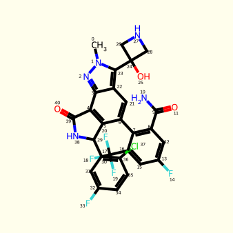 Cn1nc2c3c(c(-c4c(C(N)=O)cc(F)cc4C(F)(F)F)cc2c1C1(O)CNC1)C(c1cc(F)ccc1Cl)NC3=O